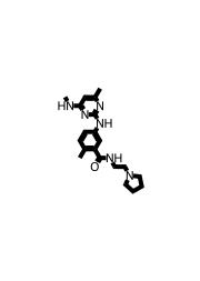 CNc1cc(C)nc(Nc2ccc(C)c(C(=O)NCCN3CCCC3)c2)n1